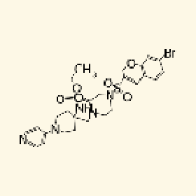 CCOC(=O)NC1(CN2CCN(S(=O)(=O)C3=Cc4ccc(Br)cc4OC3)CC2=O)CCN(c2ccncc2)CC1